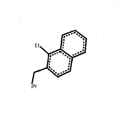 CCc1c(CC(C)C)ccc2ccccc12